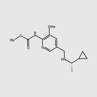 COc1cc(CN[C@@H](C)C2CC2)cnc1NC(=O)OC(C)(C)C